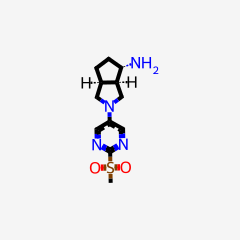 CS(=O)(=O)c1ncc(N2C[C@H]3CC[C@H](N)[C@H]3C2)cn1